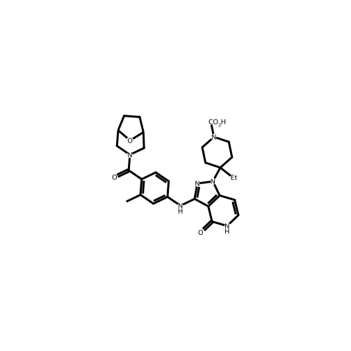 CCC1(n2nc(Nc3ccc(C(=O)N4CC5CCC(C4)O5)c(C)c3)c3c(=O)[nH]ccc32)CCN(C(=O)O)CC1